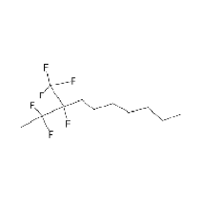 CCCCCCCC(F)(C(C)(F)F)C(F)(F)F